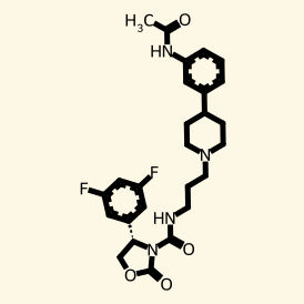 CC(=O)Nc1cccc(C2CCN(CCCNC(=O)N3C(=O)OC[C@@H]3c3cc(F)cc(F)c3)CC2)c1